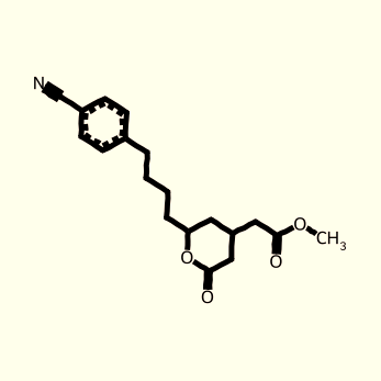 COC(=O)CC1CC(=O)OC(CCCCc2ccc(C#N)cc2)C1